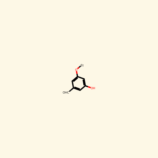 CCOc1cc(O)cc(C=O)c1